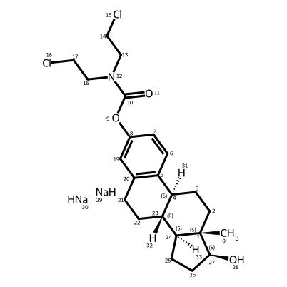 C[C@]12CC[C@@H]3c4ccc(OC(=O)N(CCCl)CCCl)cc4CC[C@H]3[C@@H]1CC[C@@H]2O.[NaH].[NaH]